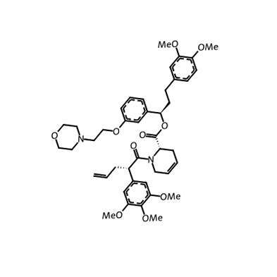 C=CC[C@H](C(=O)N1CC=CC[C@H]1C(=O)O[C@H](CCc1ccc(OC)c(OC)c1)c1cccc(OCCN2CCOCC2)c1)c1cc(OC)c(OC)c(OC)c1